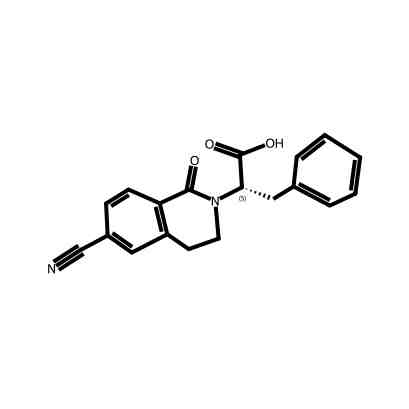 N#Cc1ccc2c(c1)CCN([C@@H](Cc1ccccc1)C(=O)O)C2=O